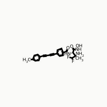 Cc1ccc(C#CC#Cc2ccc(C(=O)N[C@H](C(=O)NO)C(C)(N)C(F)F)cc2)cc1